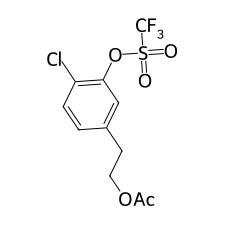 CC(=O)OCCc1ccc(Cl)c(OS(=O)(=O)C(F)(F)F)c1